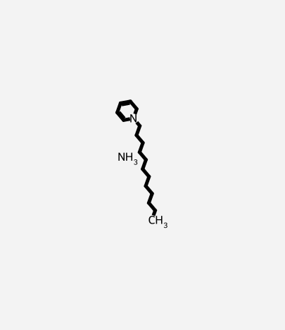 CCCCCCCCCCCCN1C=CC=CC1.N